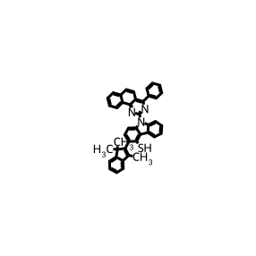 CC1=C(c2ccc3c(c2S)c2ccccc2n3-c2nc(-c3ccccc3)c3ccc4ccccc4c3n2)C(C)(C)c2ccccc21